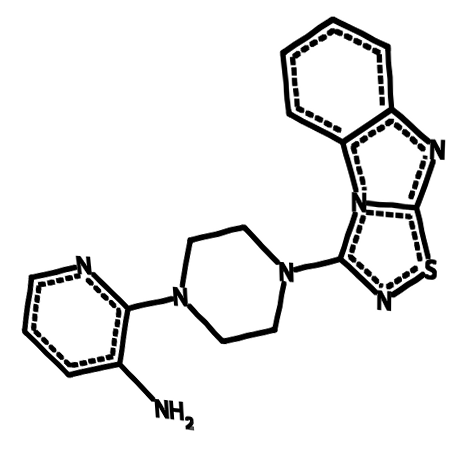 Nc1cccnc1N1CCN(c2nsc3nc4ccccc4n23)CC1